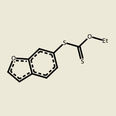 CCOC(=S)Sc1ccc2ccoc2c1